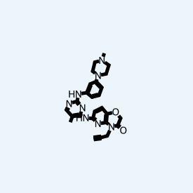 C#CCN1C(=O)COc2ccc(Nc3nc(Nc4cccc(N5CCN(C)CC5)c4)ncc3C)nc21